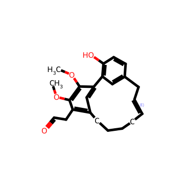 COc1c2cc(c(CC=O)c1OC)CCCC/C=C/Cc1ccc(O)c-2c1